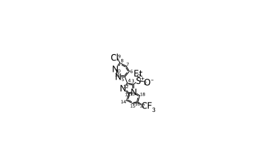 CC[S+]([O-])c1c(-c2ccc(Cl)nn2)nc2ccc(C(F)(F)F)cn12